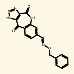 O=c1[nH]c2cc(C=NOCc3ccccc3)ccc2c(=O)c2[nH]nnc12